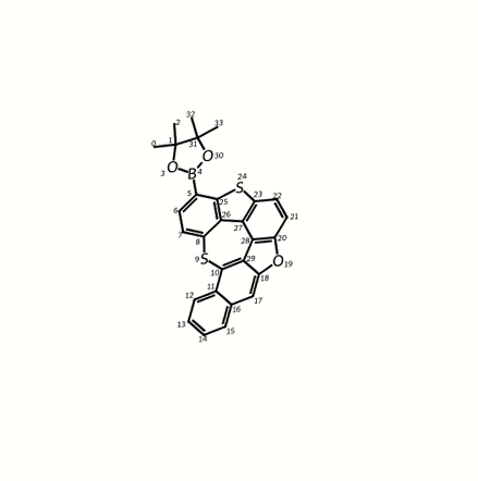 CC1(C)OB(c2ccc3sc4c5ccccc5cc5oc6ccc7sc2c3c7c6c54)OC1(C)C